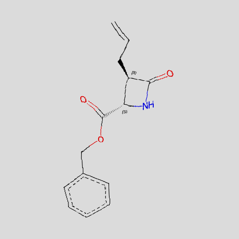 C=CC[C@H]1C(=O)N[C@@H]1C(=O)OCc1ccccc1